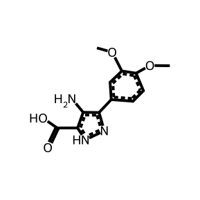 COc1ccc(-c2n[nH]c(C(=O)O)c2N)cc1OC